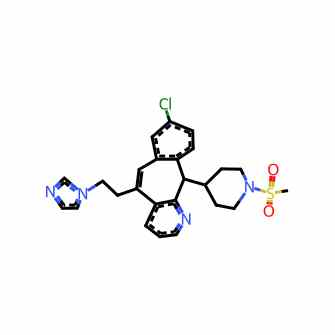 CS(=O)(=O)N1CCC(C2c3ccc(Cl)cc3C=C(CCn3ccnc3)c3cccnc32)CC1